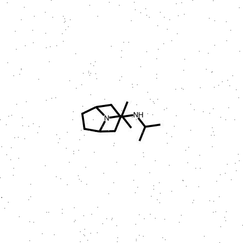 CC(C)NC1CC2CCC(C1)N2C(C)C